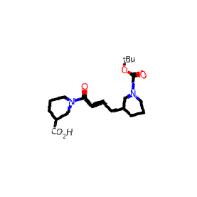 CC(C)(C)OC(=O)N1CCCC(CC=CC(=O)N2CCCC(C(=O)O)C2)C1